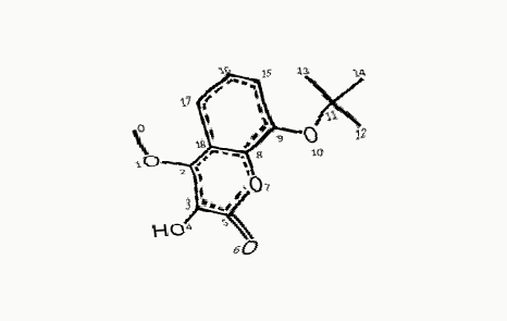 COc1c(O)c(=O)oc2c(OC(C)(C)C)cccc12